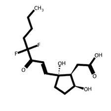 CCCCC(F)(F)C(=O)C=C[C@]1(O)CC[C@H](O)[C@@H]1CC(=O)O